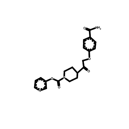 NC(=O)c1ccc(OCC(=O)C2CCN(C(=O)Oc3cccnc3)CC2)cc1